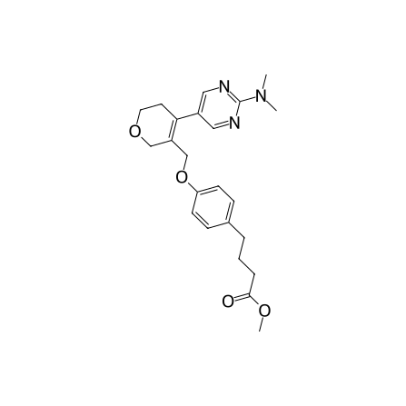 COC(=O)CCCc1ccc(OCC2=C(c3cnc(N(C)C)nc3)CCOC2)cc1